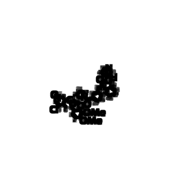 COc1ccc([C@H](Cc2c(Cl)c[n+]([O-])cc2Cl)OC(=O)[C@@H]2CCCN2C(=O)c2cccc(CN(C(=O)O[C@H]3CN4CCC3CC4)c3ccccc3F)c2)cc1OC